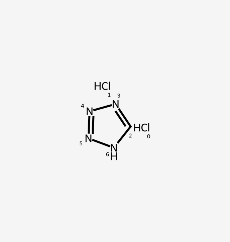 Cl.Cl.c1nnn[nH]1